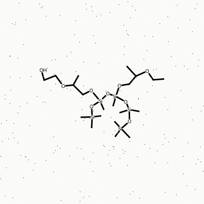 CCOC(C)CO[Si](C)(O[Si](C)(C)O[Si](C)(C)C)O[Si](C)(OCC(C)OCCO)O[Si](C)(C)C